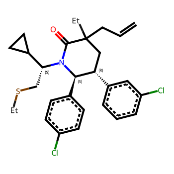 C=CCC1(CC)C[C@H](c2cccc(Cl)c2)[C@@H](c2ccc(Cl)cc2)N([C@H](CSCC)C2CC2)C1=O